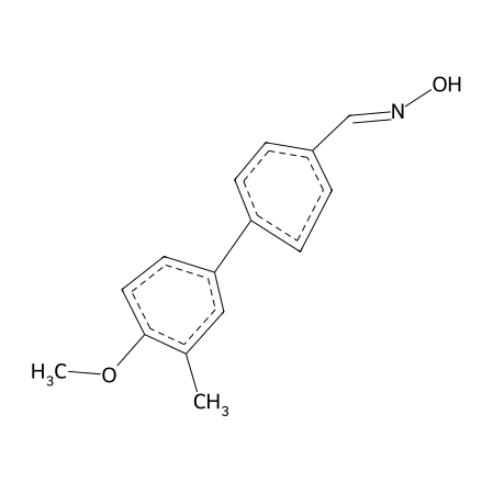 COc1ccc(-c2ccc(C=NO)cc2)cc1C